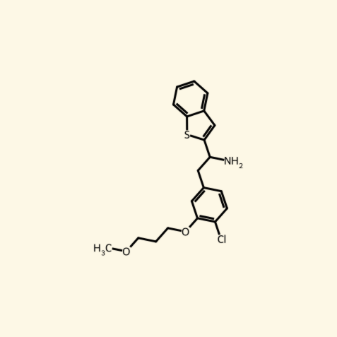 COCCCOc1cc(CC(N)c2cc3ccccc3s2)ccc1Cl